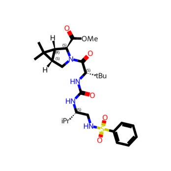 COC(=O)[C@@H]1[C@@H]2[C@H](CN1C(=O)[C@@H](NC(=O)N[C@H](CNS(=O)(=O)c1ccccc1)C(C)C)C(C)(C)C)C2(C)C